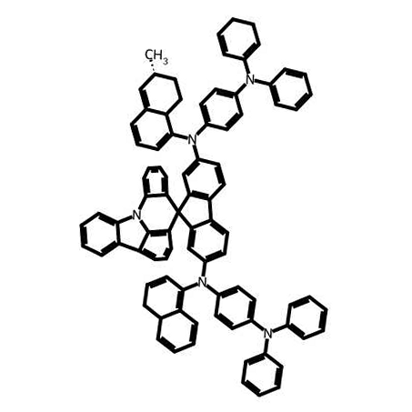 C[C@H]1C=C2C=CC=C(N(c3ccc(N(C4=CCCC=C4)c4ccccc4)cc3)c3ccc4c(c3)C3(c5cc(N(C6=C7C=CC=CC7CC=C6)c6ccc(N(c7ccccc7)c7ccccc7)cc6)ccc5-4)c4ccccc4-n4c5ccccc5c5cccc3c54)C2CC1